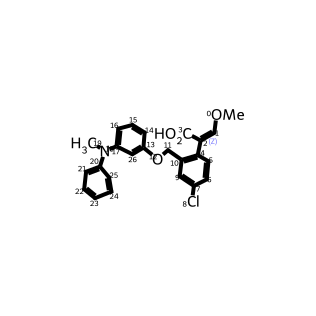 CO/C=C(\C(=O)O)c1ccc(Cl)cc1COc1cccc(N(C)c2ccccc2)c1